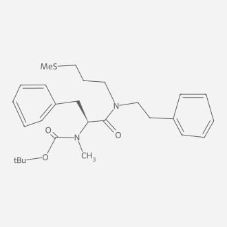 CSCCCN(CCc1ccccc1)C(=O)[C@H](Cc1ccccc1)N(C)C(=O)OC(C)(C)C